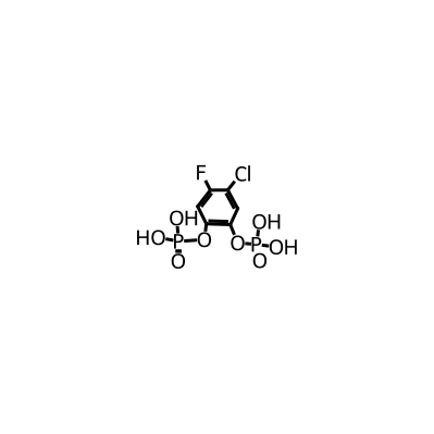 O=P(O)(O)Oc1cc(F)c(Cl)cc1OP(=O)(O)O